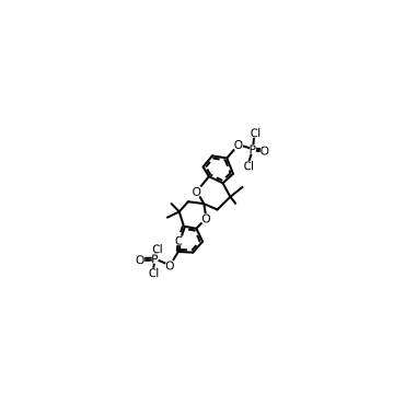 CC1(C)CC2(CC(C)(C)c3cc(OP(=O)(Cl)Cl)ccc3O2)Oc2ccc(OP(=O)(Cl)Cl)cc21